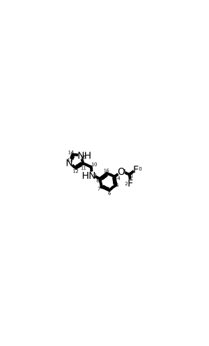 FC(F)Oc1cccc(NCc2cnc[nH]2)c1